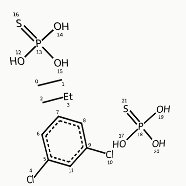 CC.CCC.Clc1cccc(Cl)c1.OP(O)(O)=S.OP(O)(O)=S